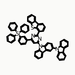 c1ccc([Si](c2ccccc2)(c2ccccc2)c2cccc(-c3cc(-n4c5ccccc5c5cc(-n6c7ccccc7c7ccccc76)ccc54)nc(-c4cccc5c4sc4ccccc45)n3)c2)cc1